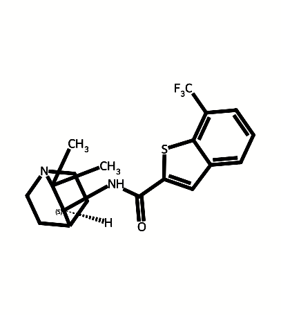 CC1(C)[C@@H](NC(=O)c2cc3cccc(C(F)(F)F)c3s2)C2CCN1CC2